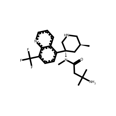 C[C@@H]1CNC[C@@](c2ccc(C(F)(F)F)c3ncccc23)(N(C)C(=O)CC(C)(C)N)C1